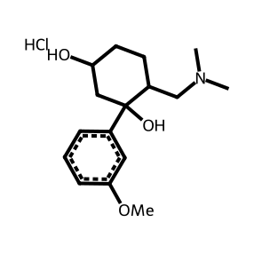 COc1cccc(C2(O)CC(O)CCC2CN(C)C)c1.Cl